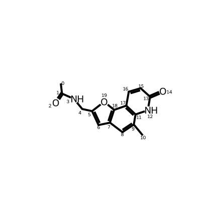 CC(=O)NCc1cc2cc(C)c3[nH]c(=O)ccc3c2o1